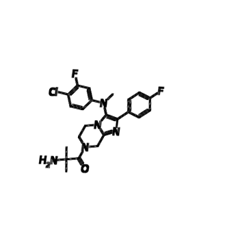 CN(c1ccc(Cl)c(F)c1)c1c(-c2ccc(F)cc2)nc2n1CCN(C(=O)C(C)(C)N)C2